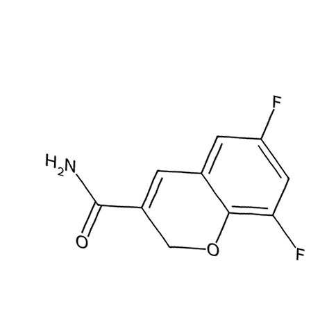 NC(=O)C1=Cc2cc(F)cc(F)c2OC1